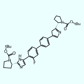 CC(C)(C)OC(=O)N1CCC[C@H]1C1=NC=C(c2ccc(-c3ccc(-c4cnc([C@@H]5CCCN5C(=O)OC(C)(C)C)[nH]4)c(F)c3)cc2)C1